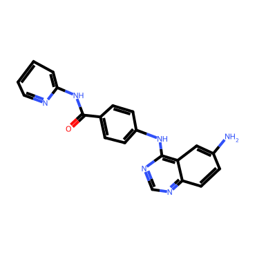 Nc1ccc2ncnc(Nc3ccc(C(=O)Nc4ccccn4)cc3)c2c1